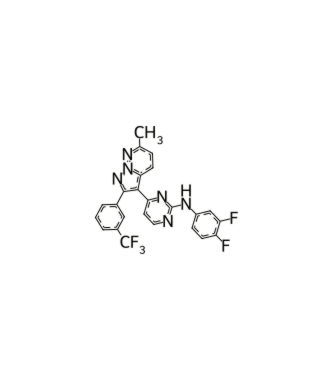 Cc1ccc2c(-c3ccnc(Nc4ccc(F)c(F)c4)n3)c(-c3cccc(C(F)(F)F)c3)nn2n1